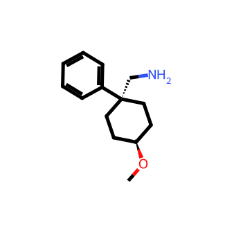 CO[C@H]1CC[C@@](CN)(c2ccccc2)CC1